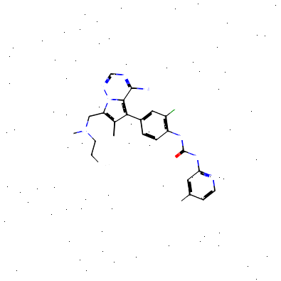 CCN(CCOC)Cc1c(C)c(-c2ccc(NC(=O)Nc3cc(C(F)(F)F)ccn3)c(F)c2)c2c(N)ncnn12